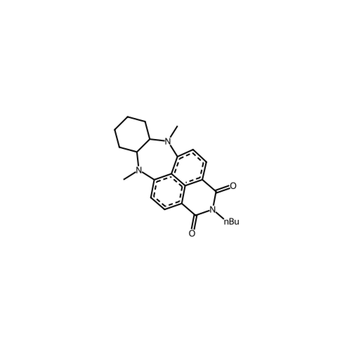 CCCCN1C(=O)c2ccc3c4c(ccc(c24)C1=O)N(C)C1CCCCC1N3C